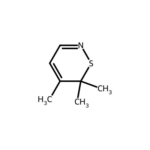 CC1=CC=NSC1(C)C